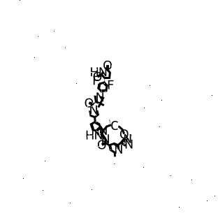 Cc1cc2cc(n1)-c1cnn(C)c1OCCC[C@@H](C)CN1/C(=N/C2=O)Nc2ccc(C3CCN(C(=O)[C@H]4CN(c5cc(F)c([C@H]6CCC(=O)NC6=O)c(F)c5)CC4(C)C)CC3)cc21